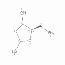 OC1CC(S)O[C@@H]1CP